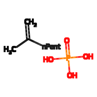 C=C(C)CCCCC.O=P(O)(O)O